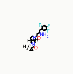 CC1(C(=O)N2C[C@@H]3CCN(C(=O)CC(N)Cc4cc(F)c(F)cc4F)[C@@H]3C2)CC1